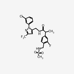 CC(C(=O)NCc1cc(C(F)(F)F)nn1-c1cccc(Cl)c1)c1ccc(CNS(C)(=O)=O)c(F)c1